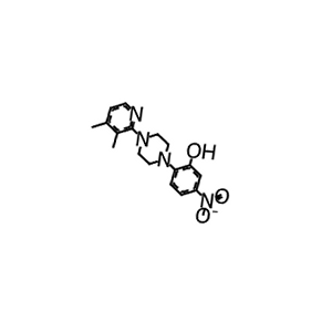 Cc1ccnc(N2CCN(c3ccc([N+](=O)[O-])cc3O)CC2)c1C